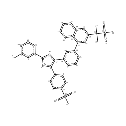 CCc1cc(-c2nc(-c3ccc(S(C)(=O)=O)cc3)c(-c3cccc(-c4cc(C(C)(C)S(C)(=O)=O)cc5cccnc45)c3)s2)ccn1